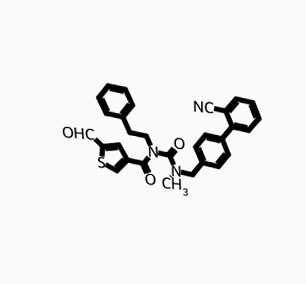 CN(Cc1ccc(-c2ccccc2C#N)cc1)C(=O)N(CCc1ccccc1)C(=O)c1csc(C=O)c1